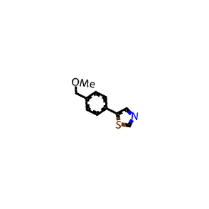 COCc1ccc(-c2cncs2)cc1